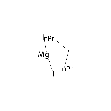 [CH2]CCCCCC.[I][Mg][I]